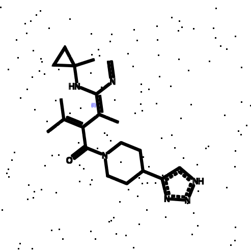 C=N/C(NC1(C)CC1)=C(\C)C(C(=O)N1CCC(c2c[nH]nn2)CC1)=C(C)C